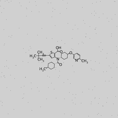 Cc1ccc(O[C@H]2CC[C@H](N(c3cc(C#CC(C)(C)C)sc3C(=O)O)C(=O)[C@H]3CC[C@H](C)CC3)CC2)cn1